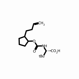 C=CCCC1CCCC1OC(=O)N[C@H](C(=O)O)C(C)(C)C